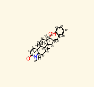 CN1C(=O)C=C[C@]2(C)[C@H]3CC[C@]4(C)[C@@H](O)/C(=C\c5ccccc5)C[C@H]4[C@@H]3CC[C@@H]12